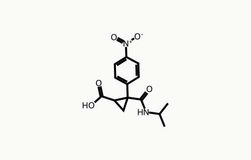 CC(C)NC(=O)C1(c2ccc([N+](=O)[O-])cc2)CC1C(=O)O